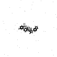 CC1=NN(c2ccc3c(c2)CCC3)C(=O)/C1=N\NC1(C(=O)O)C=CC=C(c2cc(F)ccc2O)C1